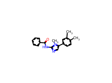 Cc1ccc(-c2cnc(NC(=O)c3ccccc3)n2C)cc1C